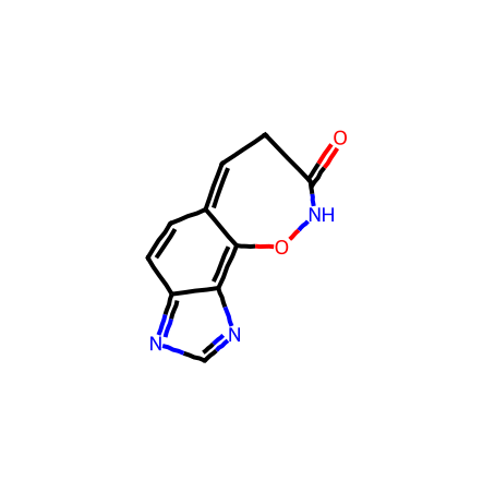 O=C1CC=c2ccc3c(c2ON1)N=CN=3